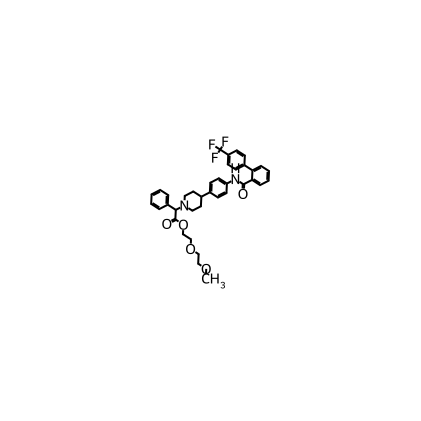 COCCOCCOC(=O)C(c1ccccc1)N1CCC(c2ccc(NC(=O)c3ccccc3-c3ccc(C(F)(F)F)cc3)cc2)CC1